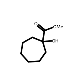 COC(=O)C1(O)CCCCCC1